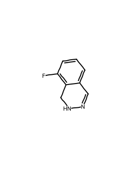 Fc1cccc2c1CNN=C2